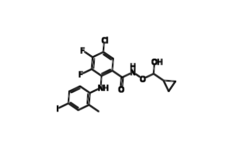 Cc1cc(I)ccc1Nc1c(C(=O)NOC(O)C2CC2)cc(Cl)c(F)c1F